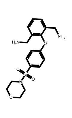 NCc1cccc(CN)c1Oc1ccc(S(=O)(=O)N2CCOCC2)cc1